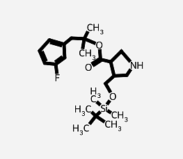 CC(C)(Cc1cccc(F)c1)OC(=O)C1CNCC1CO[Si](C)(C)C(C)(C)C